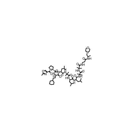 Cc1nc(C(=O)N2CCC[C@H]2C(=O)NC(CCC2CCCCC2)C(=O)NC(CC(C)C)C(=O)NC(C)(C)C(=O)NC(CC(C)C)C(=O)NC(CC(C)C)C(=O)NC(C)(C)C(=O)NC(C)(C)C(=O)NCCC(=O)NC(C)CN2CCOCC2)co1